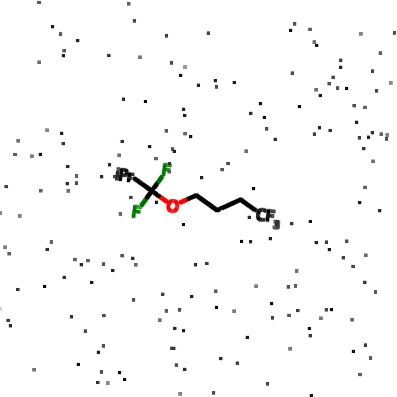 CC(C)C(F)(F)OCCCC(F)(F)F